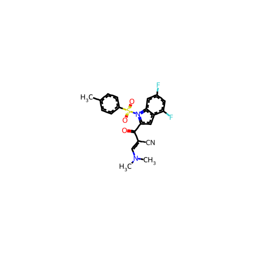 Cc1ccc(S(=O)(=O)n2c(C(=O)/C(C#N)=C/N(C)C)cc3c(F)cc(F)cc32)cc1